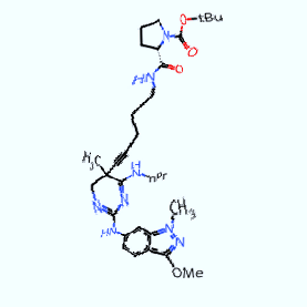 CCCNC1=NC(Nc2ccc3c(OC)nn(C)c3c2)=NCC1(C)C#CCCCNC(=O)[C@@H]1CCCN1C(=O)OC(C)(C)C